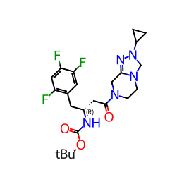 CC(C)(C)OC(=O)N[C@@H](CC(=O)N1CCN2CN(C3CC3)N=C2C1)Cc1cc(F)c(F)cc1F